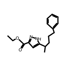 CCOC(=O)c1cc(C(C)CCCc2ccccc2)[nH]n1